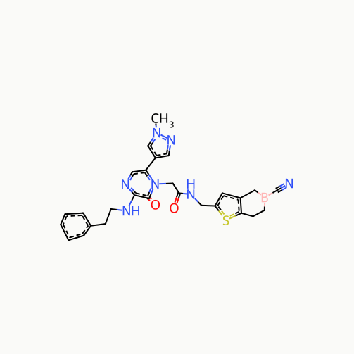 Cn1cc(-c2cnc(NCCc3ccccc3)c(=O)n2CC(=O)NCc2cc3c(s2)CCB(C#N)C3)cn1